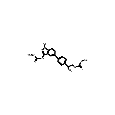 CC(=O)n1nc(NC(=O)OC(C)(C)C)c2cc(-c3ccc(C(C)CNC(=O)OC(C)(C)C)cc3)ccc21